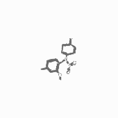 [CH2]c1ccc(N(c2ccc(C)cc2OC)[SH](=O)=O)cc1